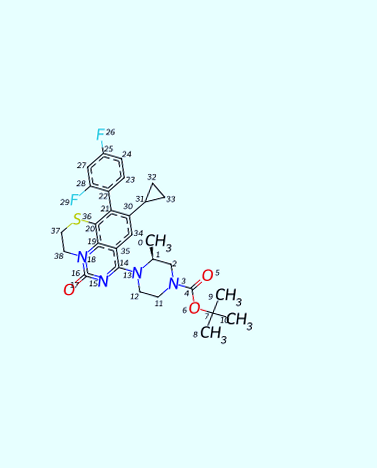 C[C@H]1CN(C(=O)OC(C)(C)C)CCN1c1nc(=O)n2c3c(c(-c4ccc(F)cc4F)c(C4CC4)cc13)SCC2